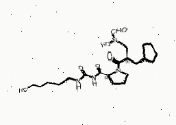 O=CN(O)C[C@@H](CC1CCCC1)C(=O)N1CCC[C@H]1C(=O)NC(=O)NCCCCCO